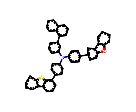 c1cc(-c2cccc3ccccc23)cc(N(c2ccc(-c3ccc4oc5ccccc5c4c3)cc2)c2ccc(-c3cccc4c3sc3ccccc34)cc2)c1